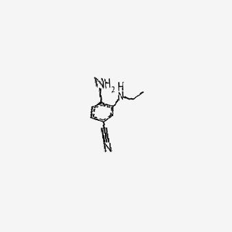 CCNc1cc(C#N)ccc1N